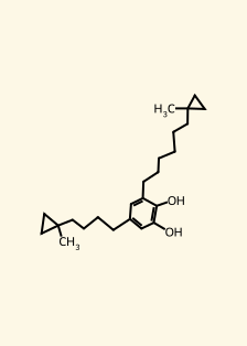 CC1(CCCCCCc2cc(CCCCC3(C)CC3)cc(O)c2O)CC1